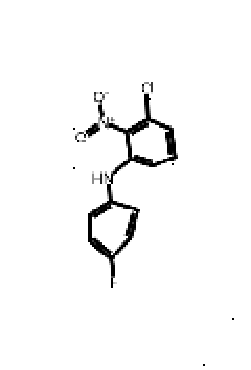 O=[N+]([O-])c1c(Cl)cccc1Nc1ccc(F)cc1